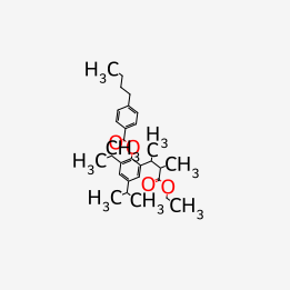 CCCCc1ccc(C(=O)Oc2c(C(C)C)cc(C(C)C)cc2C(C)C(C)C(=O)OCC)cc1